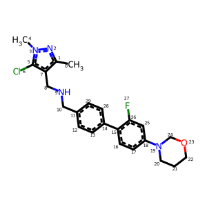 Cc1nn(C)c(Cl)c1CNCc1ccc(-c2ccc(N3CCCOC3)cc2F)cc1